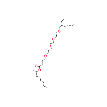 CCCCCCC(C)OC(=O)CCCOCCOCCOCCOCC(CC)CCCC